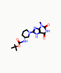 Cn1c(=O)[nH]c(=O)c2[nH]c(N3CCC[C@@H](NC(=O)OC(C)(C)C)C3)nc21